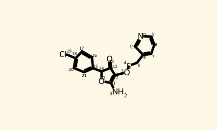 NC1=C(OSCc2cccnc2)C(=O)C(c2ccc(Cl)cc2)O1